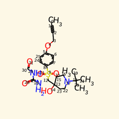 CC#CCOc1ccc(S(=O)(=O)CC2(O)CCN(C(C)(C)C)CC2)cc1.NC(=O)NC=O